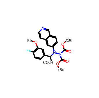 CCOc1cc(C(C(=O)O)N(c2ccc3cnccc3c2)N(C(=O)OC(C)(C)C)C(=O)OC(C)(C)C)ccc1F